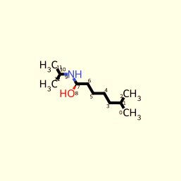 CC(C)CCCC[C@@H](O)NC(C)C